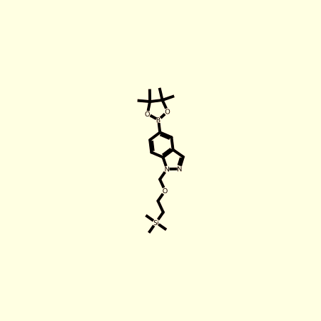 CC1(C)OB(c2ccc3c(cnn3COCC[Si](C)(C)C)c2)OC1(C)C